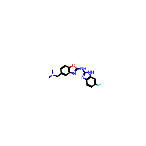 CN(C)Cc1ccc2oc(Nc3nc4ccc(F)cc4[nH]3)nc2c1